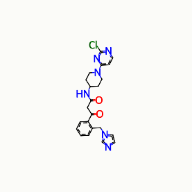 O=C(CC(=O)c1ccccc1Cn1ccnc1)NC1CCN(c2ccnc(Cl)n2)CC1